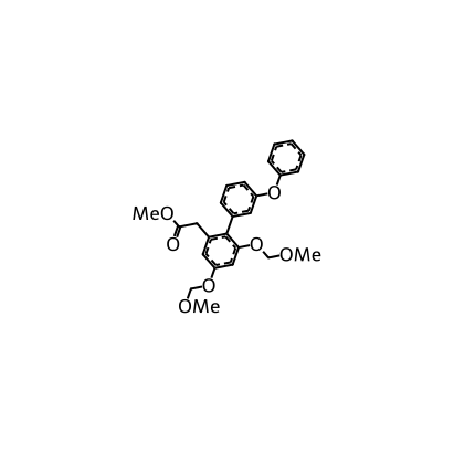 COCOc1cc(CC(=O)OC)c(-c2cccc(Oc3ccccc3)c2)c(OCOC)c1